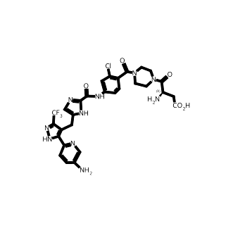 Nc1ccc(-c2[nH]nc(C(F)(F)F)c2Cc2cnc(C(=O)Nc3ccc(C(=O)N4CCN(C(=O)[C@H](N)CC(=O)O)CC4)c(Cl)c3)[nH]2)nc1